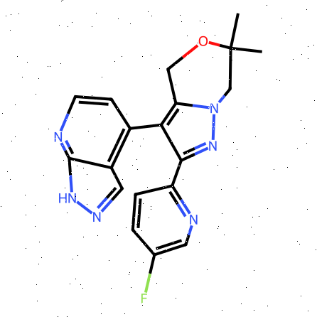 CC1(C)Cn2nc(-c3ccc(F)cn3)c(-c3ccnc4[nH]ncc34)c2CO1